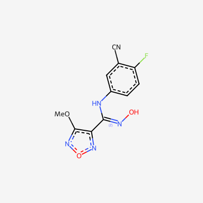 COc1nonc1/C(=N/O)Nc1ccc(F)c(C#N)c1